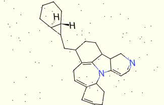 C1=CC2=CCC3=C4C(CCC3CC3[C@H]5CCCC[C@H]35)C3CN=CC=C3N4C2CC1